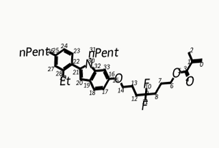 C=C(C)C(=O)OCCCC(F)(F)CCCOc1ccc2cc(-c3ccc(CCCCC)cc3CC)n(CCCCC)c2c1